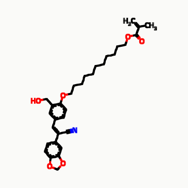 C=C(C)C(=O)OCCCCCCCCCCCOc1ccc(/C=C(\C#N)c2ccc3c(c2)OCO3)cc1CO